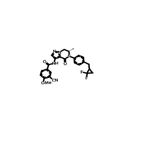 COc1ccc(C(=O)Nc2cnn3c2C(=O)N(c2ccc(CC4CC4(F)F)cc2)[C@@H](C)C3)cc1C#N